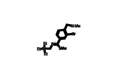 CC[Si](CC)(CC)C/N=C(\SC)c1ccc(CNC(C)=O)c(Br)c1